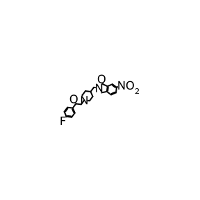 O=C(CN1CCC(CN2Cc3ccc([N+](=O)[O-])cc3C2=O)CC1)c1ccc(F)cc1